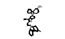 C#Cc1c(/C=C\Cn2c3ccccc3c3cc(C)ccc32)sc2ccc(-n3c4c(c5ccccc53)C=C(C(C)(C)C)C#CC4)cc12